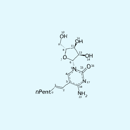 CCCCC/C=C/c1cn([C@@H]2O[C@H](CO)[C@@H](O)[C@H]2O)c(=O)nc1N